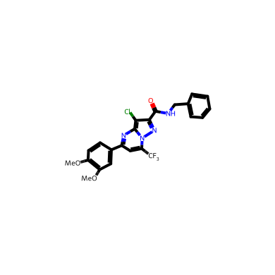 COc1ccc(-c2cc(C(F)(F)F)n3nc(C(=O)NCc4ccccc4)c(Cl)c3n2)cc1OC